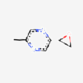 C1CO1.Cc1cnccn1